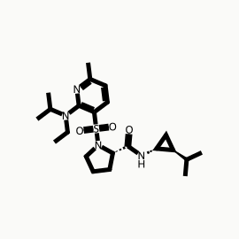 CCN(c1nc(C)ccc1S(=O)(=O)N1CCC[C@H]1C(=O)N[C@@H]1C[C@H]1C(C)C)C(C)C